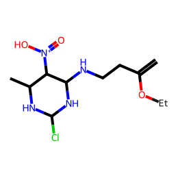 C=C(CCNC1NC(Cl)NC(C)C1[N+](=O)O)OCC